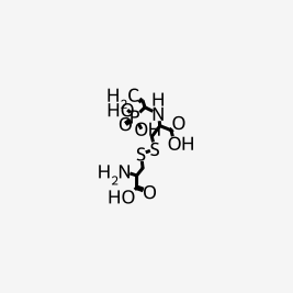 C=CC(NC(CSSCC(N)C(=O)O)C(=O)O)P(=O)(O)O